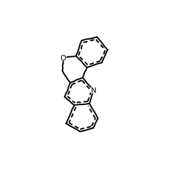 c1ccc2c(c1)OCc1cc3ccccc3nc1-2